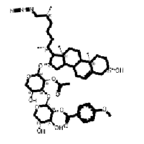 COc1ccc(C(=O)O[C@H]2[C@H](O[C@@H]3[C@@H](OC(C)=O)[C@H](O[C@H]4CC5C6CC=C7C[C@@H](O)CC[C@]7(C)C6CC[C@]5(C)C4[C@H](C)CCC[C@@H](C)CN=[N+]=[N-])OC[C@@H]3O)OC[C@@H](O)[C@@H]2O)cc1